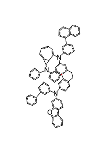 C1=CC=C(N(c2cccc(-c3cccc4ccccc34)c2)c2ccc3c(c2)CCc2ccc(N(c4cccc(-c5ccccc5)c4)c4ccc5c(c4)oc4ccccc45)cc2-3)C2C(=C1)C2N(c1ccccc1)c1ccccc1